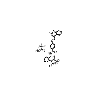 Cc1cc(COc2ccc(C(=O)NCc3ccccc3C3NC(=O)NC3=O)cc2)c2ccccc2n1.O=C(O)C(F)(F)F